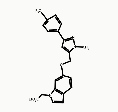 CCOC(=O)Cn1ccc2ccc(OCc3cc(-c4ccc(C(F)(F)F)cc4)nn3C)cc21